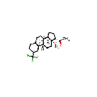 CC(=O)[C@H]1CC[C@H]2[C@@H]3CCC4CCC(C(F)(F)F)C[C@]4(C)[C@H]3CC[C@]12C